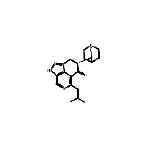 CC(C)Cc1ncc2[nH]nc3c2c1C(=O)[C@H](C1CN2CCC1CC2)C3